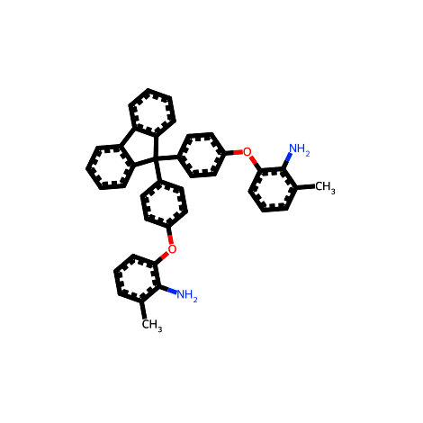 Cc1cccc(Oc2ccc(C3(c4ccc(Oc5cccc(C)c5N)cc4)c4ccccc4-c4ccccc43)cc2)c1N